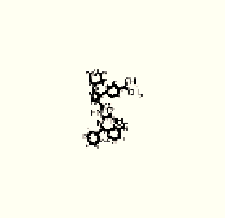 CC(C)c1ccc(-c2c(C(=O)N[C@H]3N=C(c4ccccc4)c4cccc(F)c4NC3=O)cnn2C2CCOCC2)c(F)c1